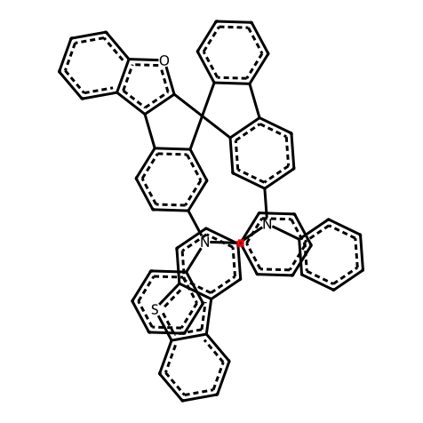 c1ccc(N(c2ccccc2)c2ccc3c(c2)C2(c4ccccc4-c4ccc(N(c5ccccc5)c5ccc6sc7ccccc7c6c5)cc42)c2oc4ccccc4c2-3)cc1